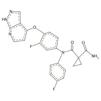 NC(=O)C1(C(=O)N(c2ccc(F)cc2)c2ccc(Oc3ccnc4[nH]ncc34)c(F)c2)CC1